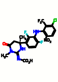 CN1C(=O)C[C@@](C)(c2ccc(F)c(Nc3c([N+](=O)[O-])ccc(Cl)c3C(F)(F)F)c2F)N/C1=N\C(=O)O